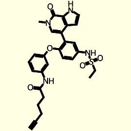 C#CCCCC(=O)Nc1cccc(Oc2ccc(NS(=O)(=O)CC)cc2-c2cn(C)c(=O)c3[nH]ccc23)c1